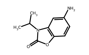 CC(C)n1c(=O)oc2ccc(N)cc21